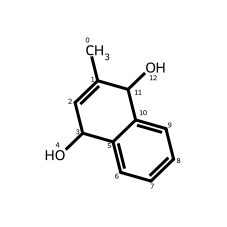 CC1=CC(O)c2ccccc2C1O